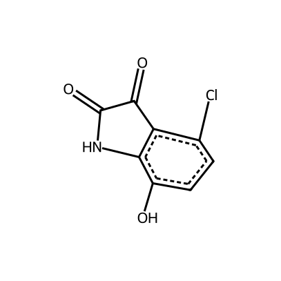 O=C1Nc2c(O)ccc(Cl)c2C1=O